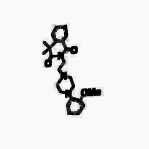 COc1ccccc1N1CCN(CCN2C(=O)c3ccccc3C(C)(C)C2=O)CC1